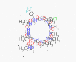 CC[C@H](C)[C@@H]1NC(=O)[C@H](C(C)C)N(C)C(=O)C[C@@H](COCC(=O)NC(C)(C)C)NC(=O)[C@H](CC(C)C)N(C)C(=O)C2(CCCC2)NC(=O)[C@H](CC(C)C)N(C)C(=O)[C@H](CCc2ccc(C(F)(F)F)cc2)NC(=O)CN(C)C(=O)[C@H](Cc2ccc(Cl)cc2)N(C)C(=O)CN(C)C(=O)CN(C)C1=O